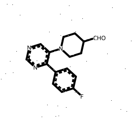 O=CC1CCN(c2cncnc2-c2ccc(F)cc2)CC1